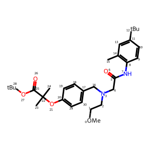 COCCN(CC(=O)Nc1ccc(C(C)(C)C)cc1C)Cc1ccc(OC(C)(C)C(=O)OC(C)(C)C)cc1